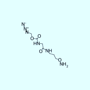 [N-]=[N+]=NCOC(=O)NCC(=O)NCCCON